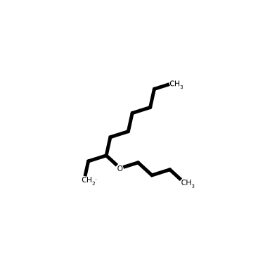 [CH2]CC(CCCCCC)OCCCC